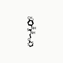 Cc1ccc(NC(=S)NCCOP2SCCS2)cc1